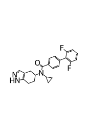 O=C(c1ccc(-c2c(F)cccc2F)cc1)N(C1CC1)C1CCc2[nH]ncc2C1